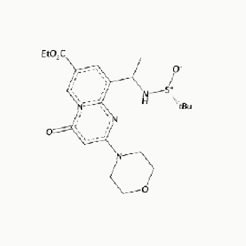 CCOC(=O)c1cc(C(C)N[S@+]([O-])C(C)(C)C)c2nc(N3CCOCC3)cc(=O)n2c1